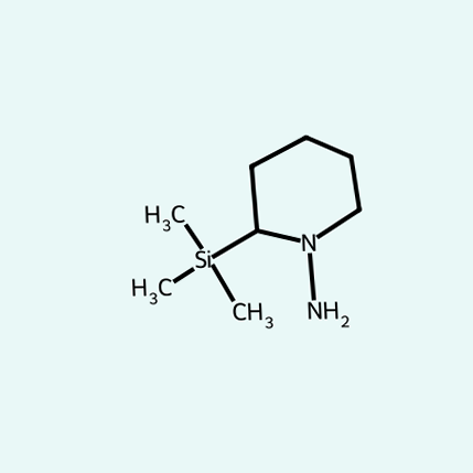 C[Si](C)(C)C1CCCCN1N